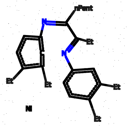 CCCCCC(=Nc1ccc(CC)c(CC)c1)C(CC)=Nc1ccc(CC)c(CC)c1.[Ni]